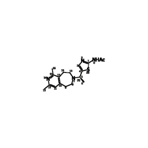 CC(=O)Nc1ncc([C@@H](C)N2CCc3cc(C)nc(C)c3CC2)s1